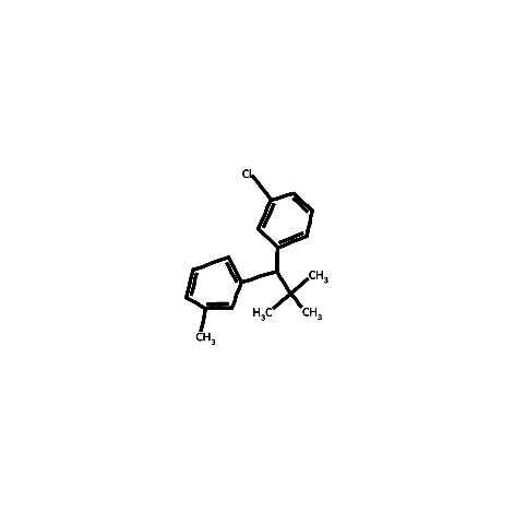 Cc1cccc(C(c2cccc(Cl)c2)C(C)(C)C)c1